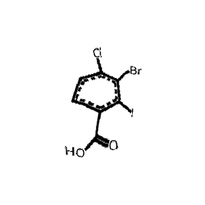 O=C(O)c1ccc(Cl)c(Br)c1I